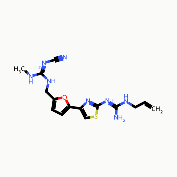 C=CCN/C(N)=N/c1nc(-c2ccc(CN/C(=N\C#N)NC)o2)cs1